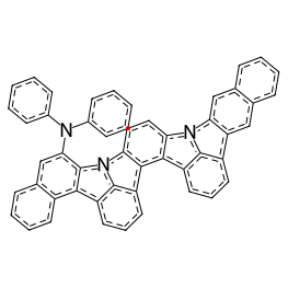 c1ccc(N(c2ccccc2)c2cc3ccccc3c3c4cccc5c6c7c8cccc9c%10cc%11ccccc%11cc%10n(c7ccc6n(c23)c54)c98)cc1